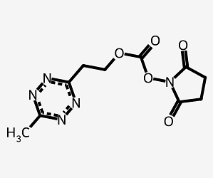 Cc1nnc(CCOC(=O)ON2C(=O)CCC2=O)nn1